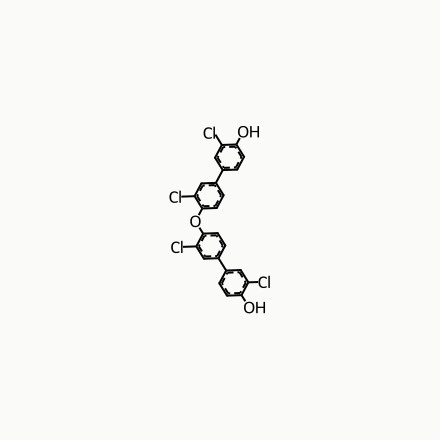 Oc1ccc(-c2ccc(Oc3ccc(-c4ccc(O)c(Cl)c4)cc3Cl)c(Cl)c2)cc1Cl